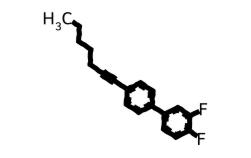 CCCCCC#Cc1ccc(-c2ccc(F)c(F)c2)cc1